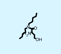 CCCCCN(CCCCC)C(=O)[C@@H](N)CCO